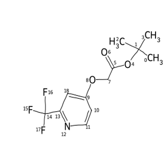 CC(C)(C)OC(=O)COc1ccnc(C(F)(F)F)c1